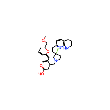 C=C(/C=C(\C=C/C)OCCOC)[C@H](CC(=O)O)CN1CC[C@@](F)(CCc2ccc3c(n2)NCCC3)C1